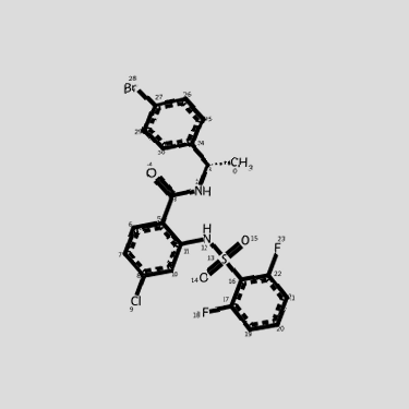 C[C@H](NC(=O)c1ccc(Cl)cc1NS(=O)(=O)c1c(F)cccc1F)c1ccc(Br)cc1